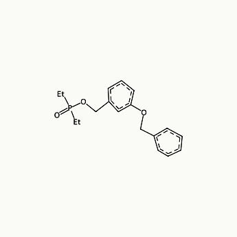 CCP(=O)(CC)OCc1cccc(OCc2ccccc2)c1